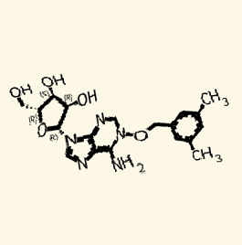 Cc1cc(C)cc(CON2CN=c3c(ncn3[C@@H]3O[C@H](CO)[C@@H](O)[C@H]3O)=C2N)c1